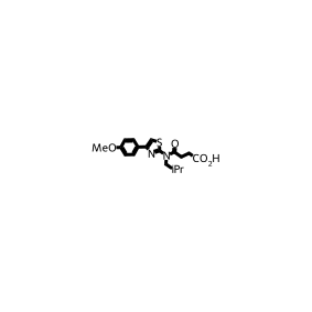 COc1ccc(-c2csc(N(CC(C)C)C(=O)CCC(=O)O)n2)cc1